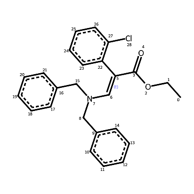 CCOC(=O)/C(=C/N(Cc1ccccc1)Cc1ccccc1)c1ccccc1Cl